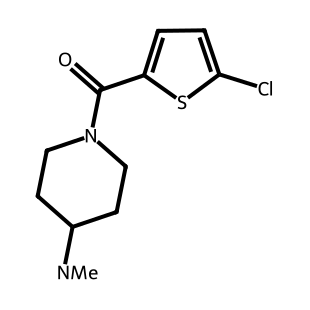 CNC1CCN(C(=O)c2ccc(Cl)s2)CC1